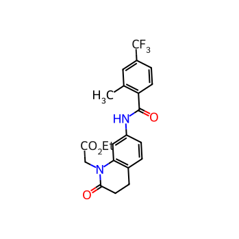 CCOC(=O)CN1C(=O)CCc2ccc(NC(=O)c3ccc(C(F)(F)F)cc3C)cc21